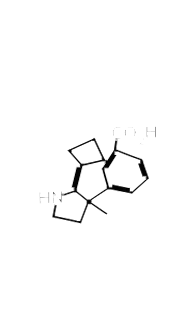 CC1(c2cccc(C(=O)O)c2)CCNC1=C1CCC1